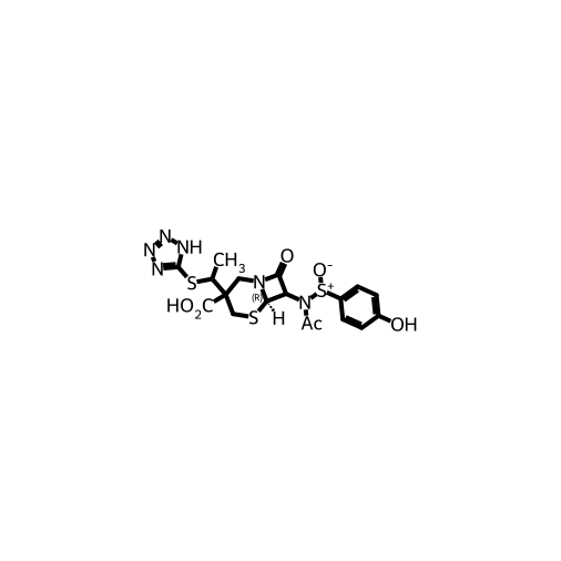 CC(=O)N(C1C(=O)N2CC(C(=O)O)(C(C)Sc3nnn[nH]3)CS[C@H]12)[S+]([O-])c1ccc(O)cc1